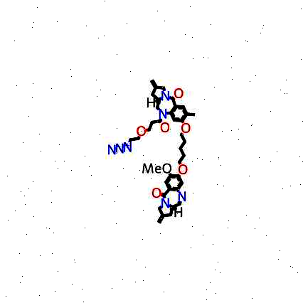 C=C1C[C@H]2CN(C(=O)CCOCCN=[N+]=[N-])c3cc(OCCCCCOc4cc5c(cc4OC)C(=O)N4CC(=C)C[C@H]4C=N5)c(C)cc3C(=O)N2C1